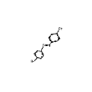 CCc1ccc(N=Nc2ccc(Br)cc2)cc1